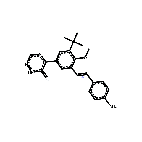 COc1c(/C=C/c2ccc(N)cc2)cc(-c2ncn[nH]c2=O)cc1C(C)(C)C